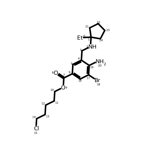 CCC1(NCc2cc(C(=O)OCCCCCCl)cc(Br)c2N)CCCC1